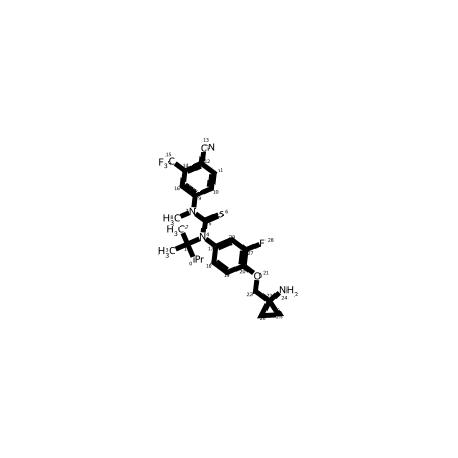 CC(C)C(C)(C)N(C(=S)N(C)c1ccc(C#N)c(C(F)(F)F)c1)c1ccc(OCC2(N)CC2)c(F)c1